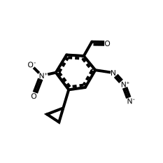 [N-]=[N+]=Nc1cc(C2CC2)c([N+](=O)[O-])cc1C=O